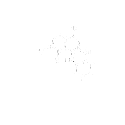 Cn1ccc2c(Br)cnc(N[C@@H]3COCC[C@H]3O)c2c1=O